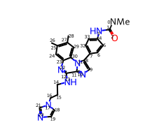 CNC(=O)Nc1ccc(-c2cnc3c(NCCCn4ccnc4)nc4cc(C)c(C)cc4n23)cc1